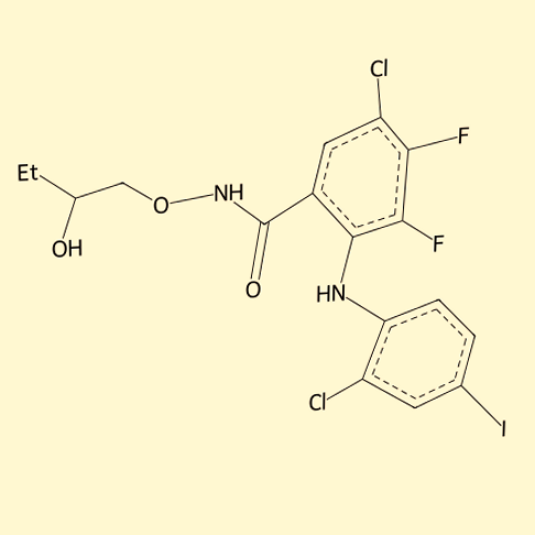 CCC(O)CONC(=O)c1cc(Cl)c(F)c(F)c1Nc1ccc(I)cc1Cl